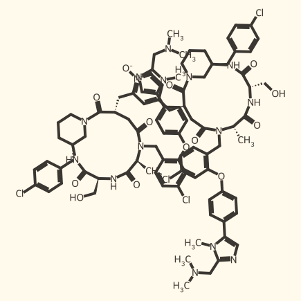 C[C@H]1C(=O)N[C@@H](CO)C(=O)N[C@@]2(Cc3ccc(Cl)cc3)CCCN(C2)C(=O)[C@H](Cc2cc[n+]([O-])c(C[C@@H]3CC(=O)N(Cc4ccc(Cl)cc4Oc4ccc(-c5cnc(CN(C)C)n5C)cc4)[C@@H](C)C(=O)N[C@@H](CO)C(=O)N[C@@]4(Cc5ccc(Cl)cc5)CCCN(C4)C3=O)c2)CC(=O)N1Cc1ccc(Cl)cc1Oc1ccc(-c2cnc(CN(C)C)n2C)cc1